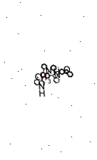 CC1CC=CC2=C1C(c1ccc(-c3ccccc3N3c4ccccc4C4C5=C(CCC=C5)N(c5ccc6oc7ccccc7c6c5)[C@H]4c4ccccc43)cc1)=CCN2